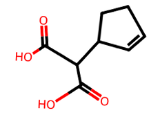 O=C(O)C(C(=O)O)C1C=CCC1